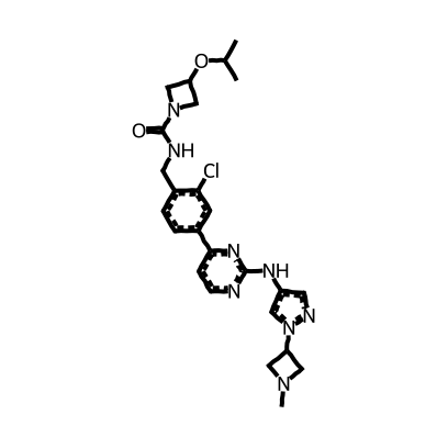 CC(C)OC1CN(C(=O)NCc2ccc(-c3ccnc(Nc4cnn(C5CN(C)C5)c4)n3)cc2Cl)C1